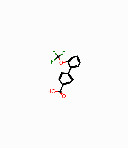 O=C(O)c1ccc(-c2ccccc2OC(F)(F)F)cc1